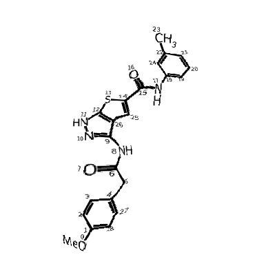 COc1ccc(CC(=O)Nc2n[nH]c3sc(C(=O)Nc4cccc(C)c4)cc23)cc1